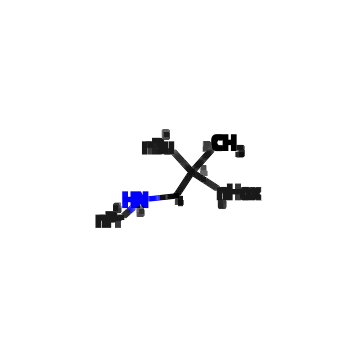 CCCCCCC(C)(CCCC)CNCCC